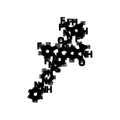 O=C(Cn1nc(C(F)(F)F)c2c1C(F)(F)[C@@H]1C[C@H]21)N[C@@H](Cc1cc(F)cc(F)c1)c1nc2nc(N3CCN(c4nc5ccccc5[nH]4)CC3)sc2cc1-c1ccc2c(c1)C(=O)NC21CC1